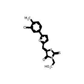 Cc1ccc(-c2ccc(/C=C3\SC(=S)N(CC(=O)O)C3=O)o2)cc1Cl